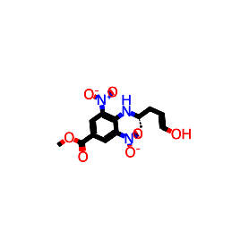 COC(=O)c1cc([N+](=O)[O-])c(N[C@@H](C)C/C=C/O)c([N+](=O)[O-])c1